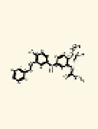 CC(=O)Nc1cc(Nc2ccc(F)c(OCc3ccccc3)c2)ccc1[As](=O)(O)OO